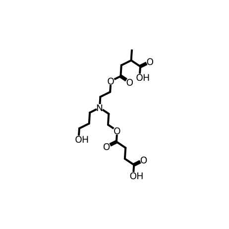 CC(CC(=O)OCCN(CCCO)CCOC(=O)CCC(=O)O)C(=O)O